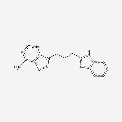 Nc1ncnc2c1ncn2CCCc1nc2ccccc2[nH]1